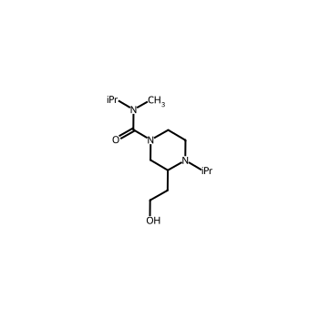 CC(C)N(C)C(=O)N1CCN(C(C)C)C(CCO)C1